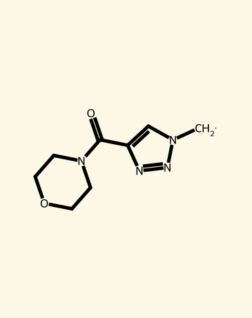 [CH2]n1cc(C(=O)N2CCOCC2)nn1